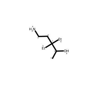 CCC([CH]CN)(CC)C(C)O